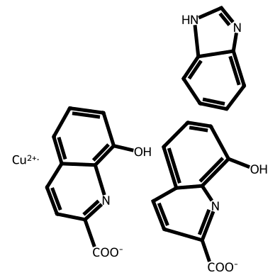 O=C([O-])c1ccc2cccc(O)c2n1.O=C([O-])c1ccc2cccc(O)c2n1.[Cu+2].c1ccc2[nH]cnc2c1